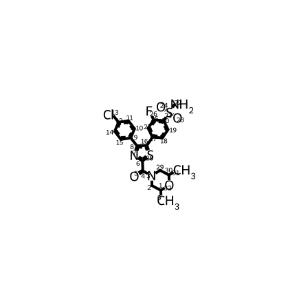 CC1CN(C(=O)c2nc(-c3ccc(Cl)cc3)c(-c3ccc(S(N)(=O)=O)c(F)c3)s2)CC(C)O1